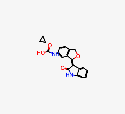 C1CC1.O=C(O)Nc1ccc2c(c1)C(=C1C(=O)Nc3ccccc31)OC2